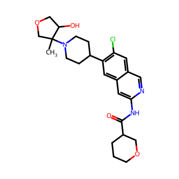 CC1(N2CCC(c3cc4cc(NC(=O)C5CCCOC5)ncc4cc3Cl)CC2)COCC1O